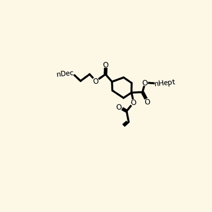 C=CC(=O)OC1(C(=O)OCCCCCCC)CCC(C(=O)OCCCCCCCCCCCC)CC1